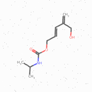 C=C(C=CCOC(=O)NC(C)C)CO